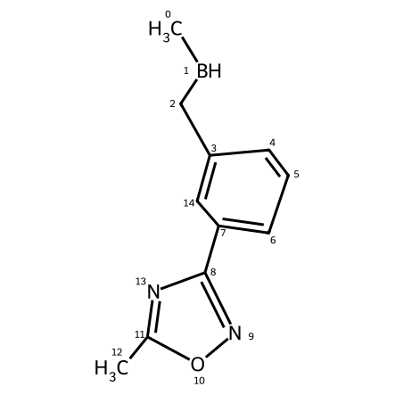 CBCc1cccc(-c2noc(C)n2)c1